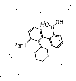 CCCCCC1C=CC=C(c2ccccc2B(O)O)C1=C1CCCCC1